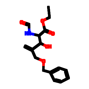 C=C(COCc1ccccc1)C(O)C(NC=O)C(=O)OCC